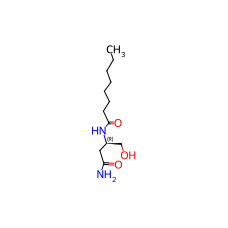 CCCCCCCC(=O)N[C@@H](CO)CC(N)=O